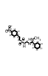 CNC(=NCNS(=O)(=O)C=Cc1ccc([N+](=O)[O-])cc1)c1ccccc1